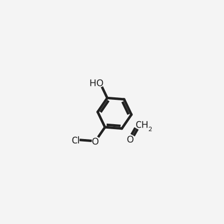 C=O.Oc1cccc(OCl)c1